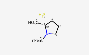 CCCCCN1CCC[C@H]1C(=O)O.S